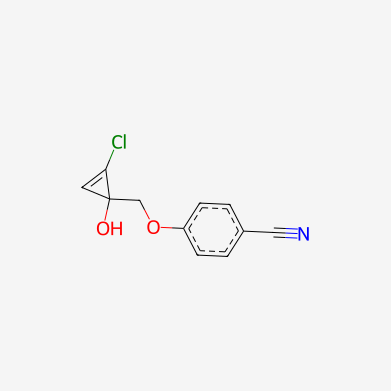 N#Cc1ccc(OCC2(O)C=C2Cl)cc1